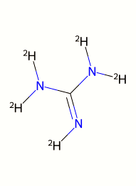 [2H]N=C(N([2H])[2H])N([2H])[2H]